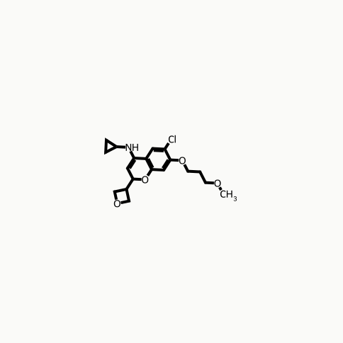 COCCCOc1cc2c(cc1Cl)C(NC1CC1)=CC(C1COC1)O2